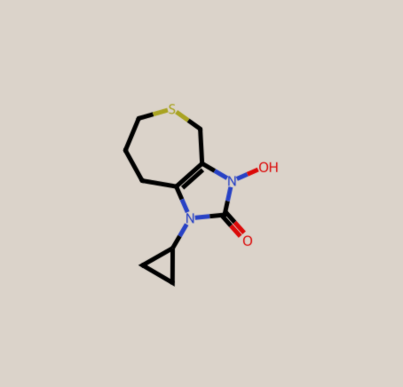 O=c1n(O)c2c(n1C1CC1)CCCSC2